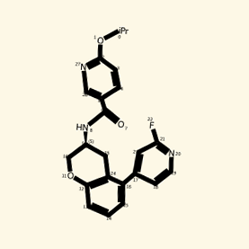 CC(C)Oc1ccc(C(=O)N[C@@H]2COc3cccc(-c4ccnc(F)c4)c3C2)cn1